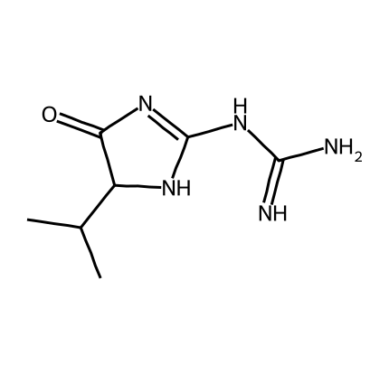 CC(C)C1NC(NC(=N)N)=NC1=O